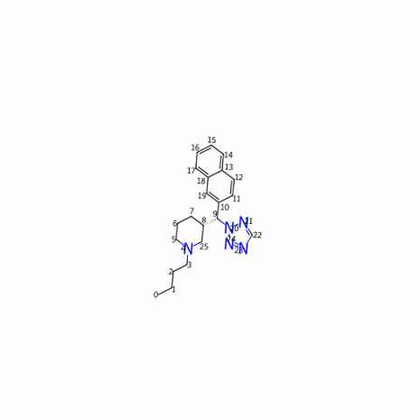 CCCCN1CCC[C@H](C(c2ccc3ccccc3c2)n2ncnn2)C1